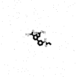 C=CC(=O)Nc1cccc(-c2ccc(C(N)=O)c3[nH]c(OCC)cc23)c1